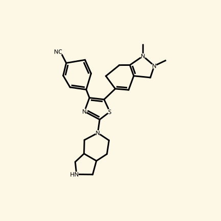 CN1CC2=C(CCC(c3sc(N4CCC5CNCC5C4)nc3-c3ccc(C#N)cc3)=C2)N1C